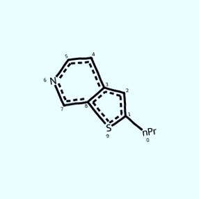 CCCc1cc2ccncc2s1